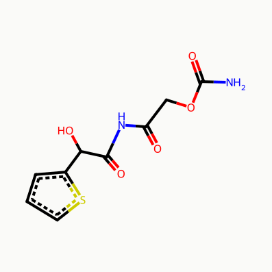 NC(=O)OCC(=O)NC(=O)C(O)c1cccs1